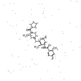 Cc1cc(F)ccc1C(=O)Nc1cc(F)cc(CN2CCN(C(=O)C3CCCC3)[C@@H](C)C2)c1C